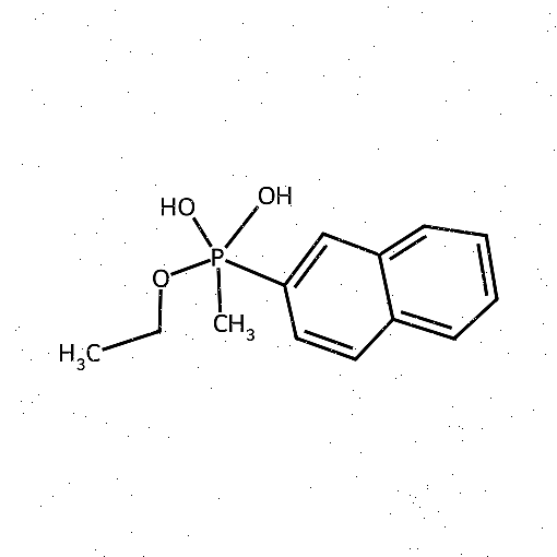 CCOP(C)(O)(O)c1ccc2ccccc2c1